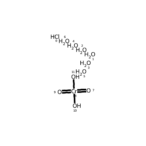 Cl.O.O.O.O.O.O.[O]=[Cr](=[O])([OH])[OH]